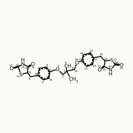 CC(C)(COc1ccc(CC2SC(=O)NC2=O)cc1)COc1ccc(CC2SC(=O)NC2=O)cc1